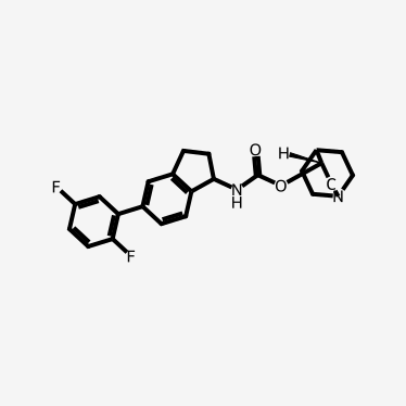 O=C(NC1CCc2cc(-c3cc(F)ccc3F)ccc21)O[C@H]1CN2CCC1CC2